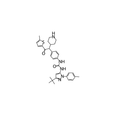 Cc1ccc(-n2nc(C(C)(C)C)cc2NC(=O)Nc2ccc(C(C(=O)c3ccc(C)s3)C3CCNCC3)cc2)cc1